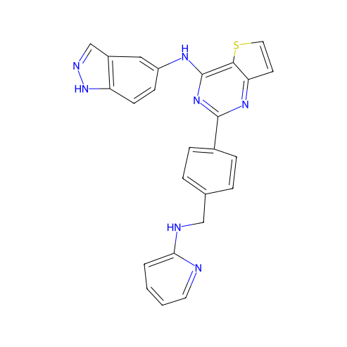 c1ccc(NCc2ccc(-c3nc(Nc4ccc5[nH]ncc5c4)c4sccc4n3)cc2)nc1